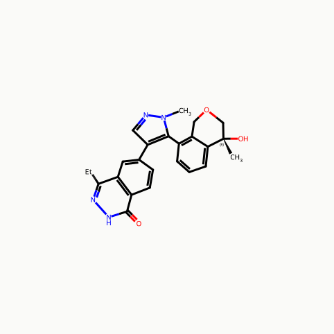 CCc1n[nH]c(=O)c2ccc(-c3cnn(C)c3-c3cccc4c3COC[C@]4(C)O)cc12